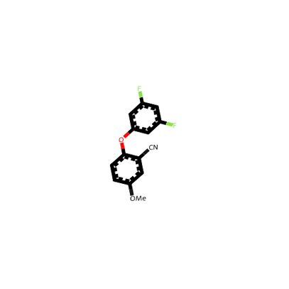 COc1ccc(Oc2cc(F)cc(F)c2)c(C#N)c1